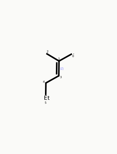 [CH2]/C(C)=C/CCC